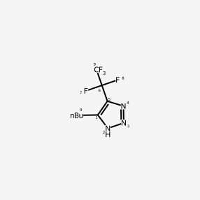 CCCCc1[nH]nnc1C(F)(F)C(F)(F)F